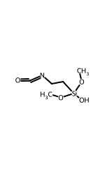 CO[Si](O)(CCN=C=O)OC